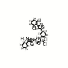 CC(C)[C@@H](CN(C(=O)C(Cl)Cl)c1cccc(-c2cc(-c3c(Cl)cccc3Cl)no2)c1)NC(=O)[C@@H](N)c1ccccc1